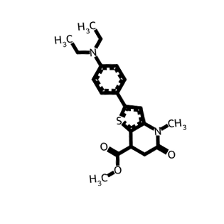 CCN(CC)c1ccc(-c2cc3c(s2)C(C(=O)OC)CC(=O)N3C)cc1